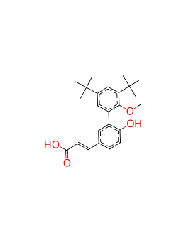 COc1c(-c2cc(C=CC(=O)O)ccc2O)cc(C(C)(C)C)cc1C(C)(C)C